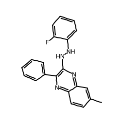 Cc1ccc2nc(-c3ccccc3)c(NNc3ccccc3F)nc2c1